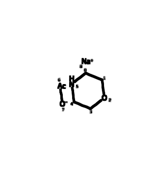 C1COCCN1.CC(=O)[O-].[Na+]